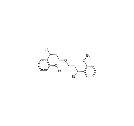 CCOc1ccccc1C(CC)CCOCCC(CC)c1ccccc1OCC